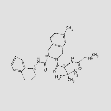 CNCC(=O)N[C@H](C(=O)N1Cc2cc(C)ccc2C[C@H]1C(=O)N[C@@H]1CCCc2ccccc21)C(C)(C)C